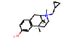 C[C@H]1C2Cc3ccc(O)cc3[C@@]1(C)CC[N+]2(C)CC1CC1